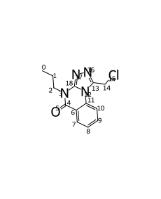 CCCn1c(=O)c2ccccc2n2c(CCl)nnc12